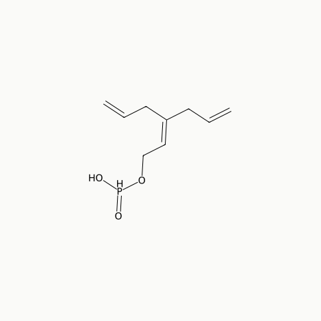 C=CCC(=CCO[PH](=O)O)CC=C